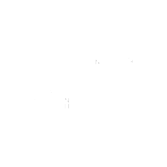 O=C1COc2nc(Br)ccc2N1